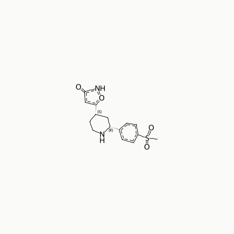 CS(=O)(=O)c1ccc([C@H]2C[C@@H](c3cc(=O)[nH]o3)CCN2)cc1